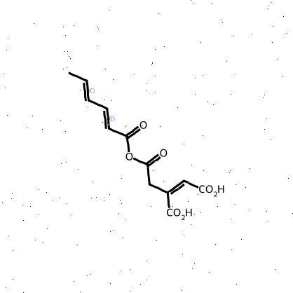 C/C=C/C=C/C(=O)OC(=O)CC(=CC(=O)O)C(=O)O